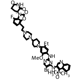 CCc1cc(Nc2ncc(Br)c(Nc3cnc4ccccc4c3P(C)(C)=O)n2)c(OC)cc1N1CCC(N2CCN(CCc3ccc(F)c4c3oc(=O)n4[C@H]3CCC(=O)NC3=O)CC2)CC1